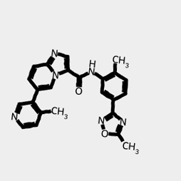 Cc1nc(-c2ccc(C)c(NC(=O)c3cnc4ccc(-c5cnccc5C)cn34)c2)no1